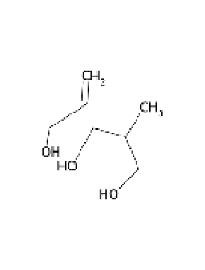 C=CCO.CC(CO)CO